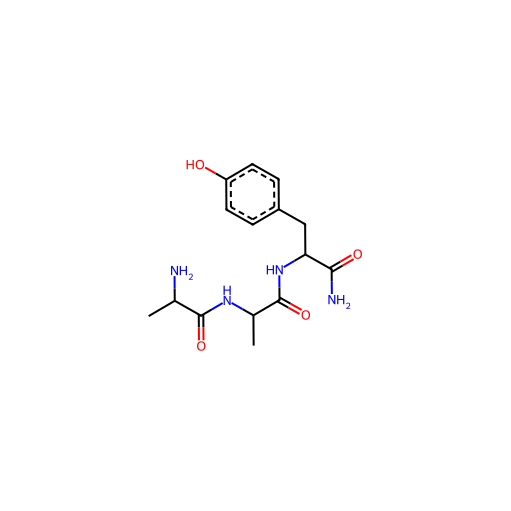 CC(N)C(=O)NC(C)C(=O)NC(Cc1ccc(O)cc1)C(N)=O